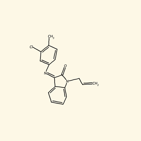 C=CCN1C(=O)C(=Nc2ccc(C)c(Cl)c2)c2ccccc21